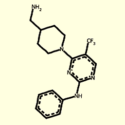 NCC1CCN(c2nc(Nc3ccccc3)ncc2C(F)(F)F)CC1